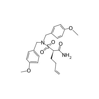 C=CCC[C@H](C(N)=O)S(=O)(=O)N(Cc1ccc(OC)cc1)Cc1ccc(OC)cc1